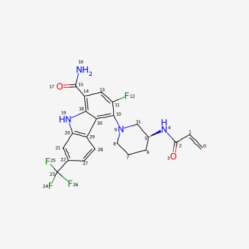 C=CC(=O)N[C@H]1CCCN(c2c(F)cc(C(N)=O)c3[nH]c4cc(C(F)(F)F)ccc4c23)C1